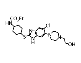 CCOC(=O)NC1CCC(Sc2nc3cc(Cl)c(N4CCN(CCO)CC4)cc3[nH]2)CC1